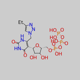 CCc1cn(Cc2[nH]c(=O)[nH]c(=O)c2[C@@H]2O[C@H](COP(=O)(O)OP(=O)(O)OP(=O)(O)O)C(O)[C@@H]2O)nn1